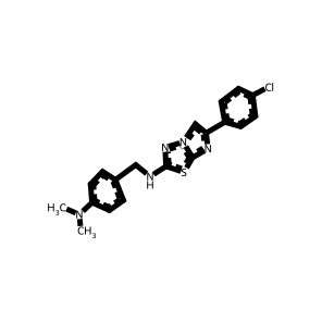 CN(C)c1ccc(CNc2nn3cc(-c4ccc(Cl)cc4)nc3s2)cc1